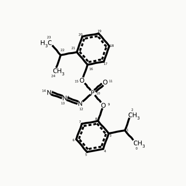 CC(C)c1ccccc1OP(=O)(N=[N+]=[N-])Oc1ccccc1C(C)C